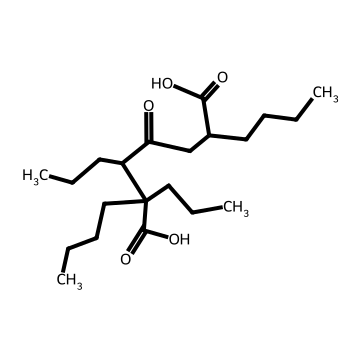 CCCCC(CC(=O)C(CCC)C(CCC)(CCCC)C(=O)O)C(=O)O